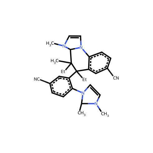 CCC1(c2cc(C#N)ccc2N2C=CN(C)C2C)c2cc(C#N)ccc2N2C=CN(C)C2C1(C)CC